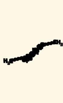 CCCCCCCCOc1ccc(-c2cnc(-c3ccc(C(=O)OC(CC(=O)CCCCCCCC)C(F)(F)F)cc3)nc2)cc1